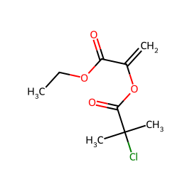 C=C(OC(=O)C(C)(C)Cl)C(=O)OCC